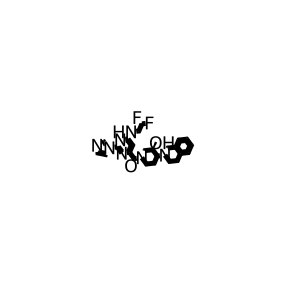 O=C(c1cc(NCC(F)F)nc(-n2ccnc2)n1)N1CCC(N2CCc3ccccc3C2)[C@H](O)C1